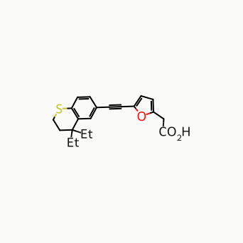 CCC1(CC)CCSc2ccc(C#Cc3ccc(CC(=O)O)o3)cc21